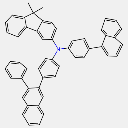 CC1(C)c2ccccc2-c2cc(N(c3ccc(-c4cc5ccccc5cc4-c4ccccc4)cc3)c3ccc(-c4cccc5ccccc45)cc3)ccc21